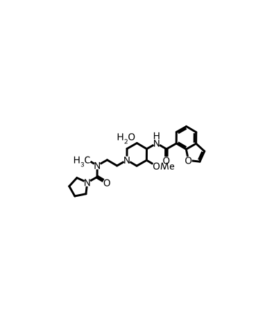 COC1CN(CCN(C)C(=O)N2CCCC2)CCC1NC(=O)c1cccc2ccoc12.O